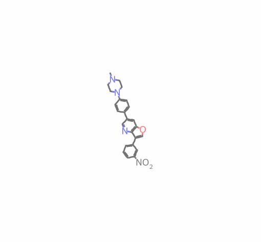 CN1CCN(c2ccc(-c3cnc4c(-c5cccc([N+](=O)[O-])c5)coc4c3)cc2)CC1